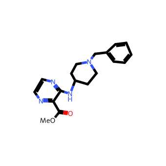 COC(=O)c1nccnc1NC1CCN(Cc2ccccc2)CC1